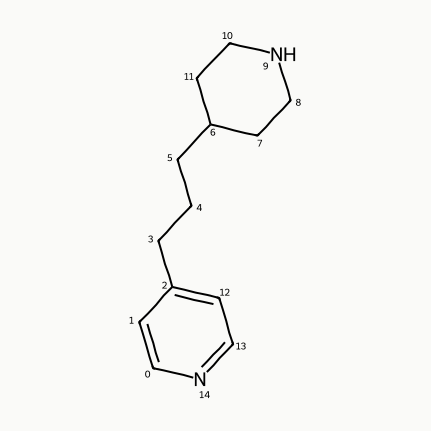 c1cc(CCCC2CCNCC2)ccn1